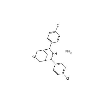 Clc1ccc(C2NC(c3ccc(Cl)cc3)C3C[Se]CC2C3)cc1.N